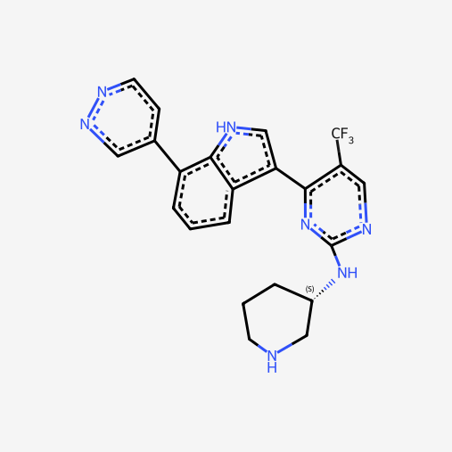 FC(F)(F)c1cnc(N[C@H]2CCCNC2)nc1-c1c[nH]c2c(-c3ccnnc3)cccc12